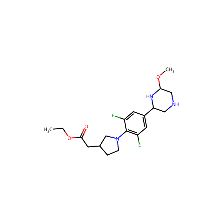 CCOC(=O)CC1CCN(c2c(F)cc(C3CNCC(OC)N3)cc2F)C1